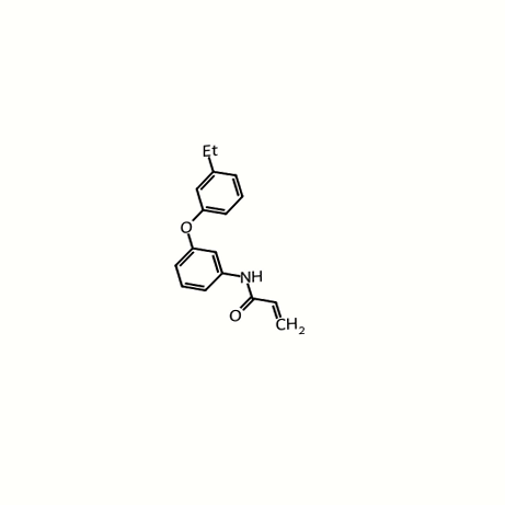 C=CC(=O)Nc1cccc(Oc2cccc(CC)c2)c1